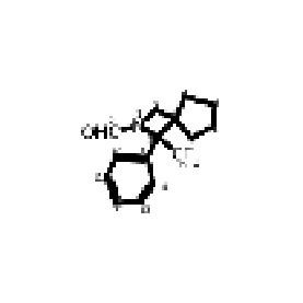 O=CN1CC2(CCCC2)C1(c1ccccc1)C(F)(F)F